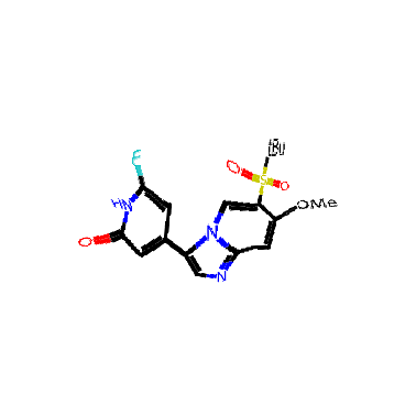 COc1cc2ncc(-c3cc(F)[nH]c(=O)c3)n2cc1S(=O)(=O)C(C)(C)C